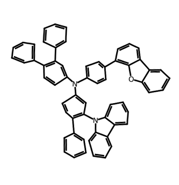 c1ccc(-c2ccc(N(c3ccc(-c4cccc5c4oc4ccccc45)cc3)c3ccc(-c4ccccc4)c(-n4c5ccccc5c5ccccc54)c3)cc2-c2ccccc2)cc1